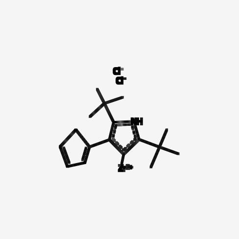 CC(C)(C)c1[nH]c(C(C)(C)C)c(C2=CC=CC2)[c]1[Zr+2].[Cl-].[Cl-]